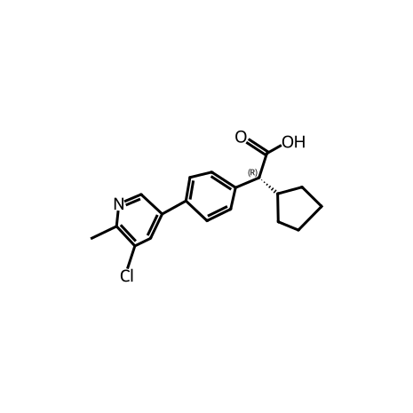 Cc1ncc(-c2ccc([C@H](C(=O)O)C3CCCC3)cc2)cc1Cl